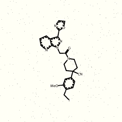 COc1cc(C2(C#N)CCN(C(=O)Cn3nc(-c4ncco4)c4cccnc43)CC2)ccc1CI